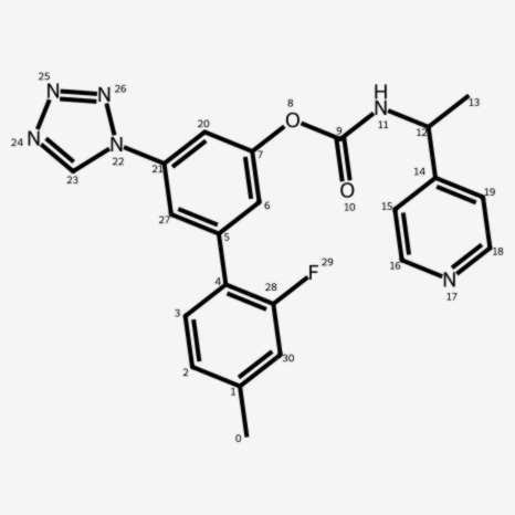 Cc1ccc(-c2cc(OC(=O)NC(C)c3ccncc3)cc(-n3cnnn3)c2)c(F)c1